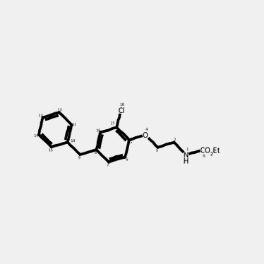 CCOC(=O)NCCOc1ccc(Cc2ccccc2)cc1Cl